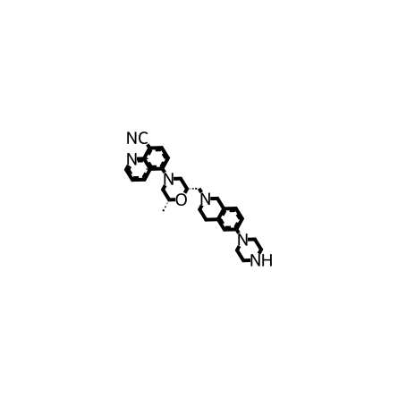 C[C@@H]1CN(c2ccc(C#N)c3ncccc23)C[C@H](CN2CCc3cc(N4CCNCC4)ccc3C2)O1